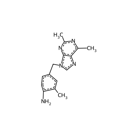 Cc1nc(C)c2ncn(Cc3ccc(N)c(C)c3)c2n1